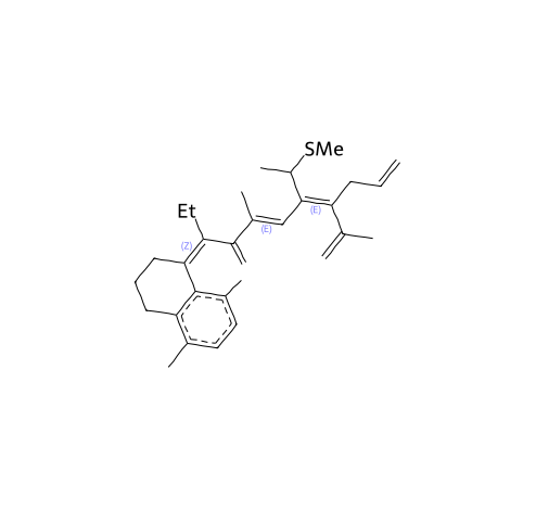 C=CC/C(C(=C)C)=C(/C=C(\C)C(=C)/C(CC)=C1/CCCc2c(C)ccc(C)c21)C(C)SC